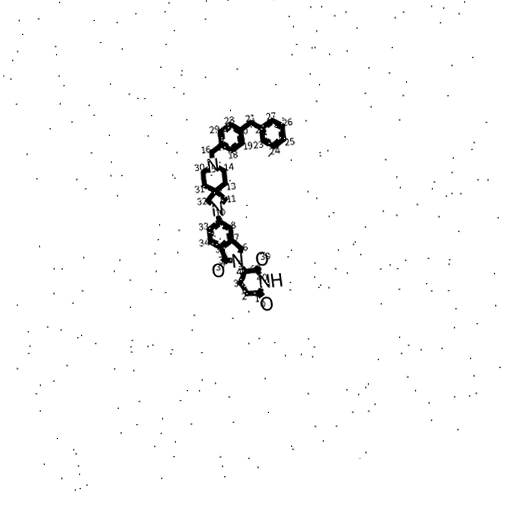 O=C1CCC(N2Cc3cc(N4CC5(CCN(Cc6ccc(Cc7ccccc7)cc6)CC5)C4)ccc3C2=O)C(=O)N1